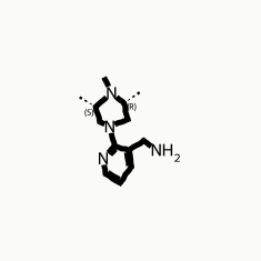 C[C@@H]1CN(c2ncccc2CN)C[C@H](C)N1C